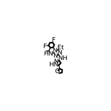 CCc1nc(Nc2cc(-c3ccco3)[nH]n2)nc(NC(C)c2ccc(F)cc2F)n1